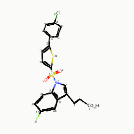 O=C(O)CCc1cn(S(=O)(=O)c2ccc(-c3ccc(Cl)cc3)s2)c2ccc(F)cc12